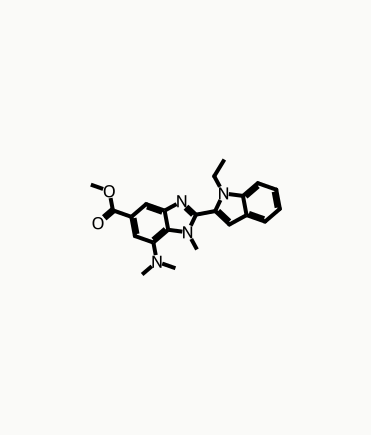 CCn1c(-c2nc3cc(C(=O)OC)cc(N(C)C)c3n2C)cc2ccccc21